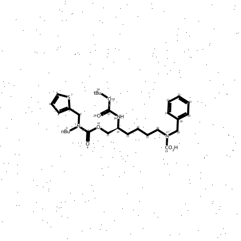 CCCCN(Cc1cccs1)C(=O)OC[C@H](CCCCN(Cc1ccccc1)C(=O)O)NC(=O)OC(C)(C)C